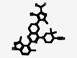 COC1CCN(c2nc(-c3c(C)ccc4[nH]nc(C)c34)nc3c2CN(c2c(Cl)c(C(F)F)nn2C)CC3)CC1(C)C